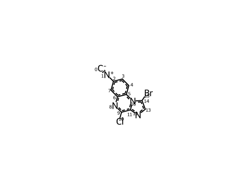 [C-]#[N+]c1ccc2c(c1)nc(Cl)c1ncc(Br)n12